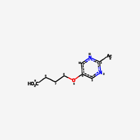 CC(=O)c1ncc(OCCCC(=O)O)cn1